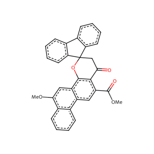 COC(=O)c1cc2c(cc(OC)c3ccccc32)c2c1C(=O)CC1(O2)c2ccccc2-c2ccccc21